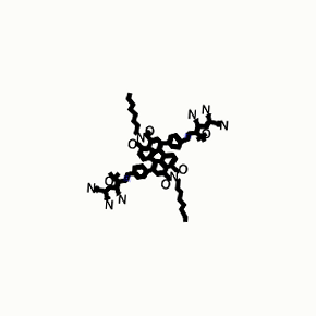 CCCCCCCCN1C(=O)c2ccc3c4c(-c5ccc(/C=C/C6=C(C#N)C(C(C#N)C#N)OC6(C)C)cc5)cc5c6c(ccc(c7c(-c8ccc(/C=C/C9=C(C#N)C(=C(C#N)C#N)OC9(C)C)cc8)cc(c2c37)C1=O)c64)C(=O)N(CCCCCCCC)C5=O